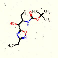 CCc1noc(C(O)C(CC)NC(=O)OC(C)(C)C)n1